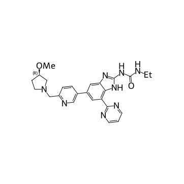 CCNC(=O)Nc1nc2cc(-c3ccc(CN4CC[C@@H](OC)C4)nc3)cc(-c3ncccn3)c2[nH]1